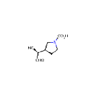 N#C[C@H](C=O)[C@@H]1CCN(C(=O)O)C1